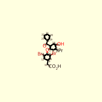 CC(C)c1cc(Oc2c(Br)cc(CC(=O)O)cc2Br)c(C(=O)c2ccccc2)cc1O